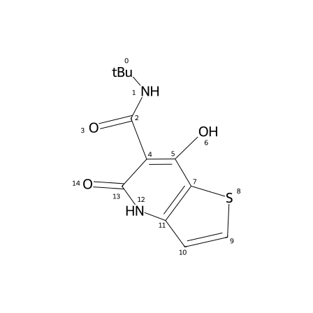 CC(C)(C)NC(=O)c1c(O)c2sccc2[nH]c1=O